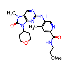 COCCNC(=O)c1cc(C)c(Nc2ncc3c(n2)n(C2CCOCC2)c(=O)n3C)cn1